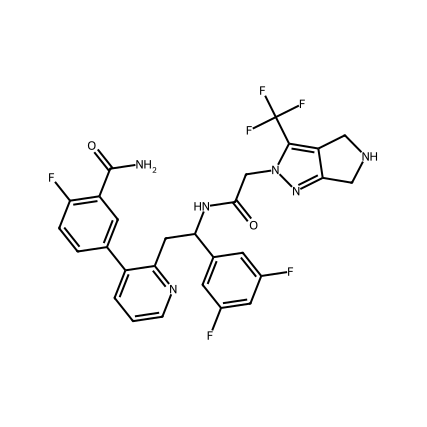 NC(=O)c1cc(-c2cccnc2CC(NC(=O)Cn2nc3c(c2C(F)(F)F)CNC3)c2cc(F)cc(F)c2)ccc1F